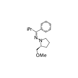 COC[C@@H]1CCCN1/N=C(\c1ccccc1)C(C)C